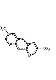 O=C(O)c1cnc2cc3ncc(C(=O)O)cc3cc2c1